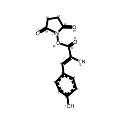 N#C/C(=C\c1ccc(O)cc1)C(=O)ON1C(=O)CCC1=O